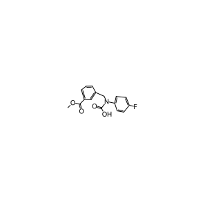 COC(=O)c1cccc(CN(C(=O)O)c2ccc(F)cc2)c1